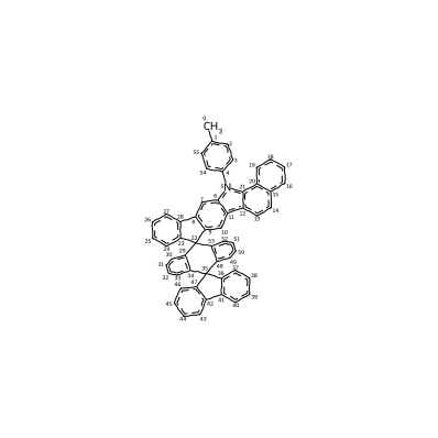 Cc1ccc(-n2c3cc4c(cc3c3ccc5ccccc5c32)C2(c3ccccc3-4)c3ccccc3C3(c4ccccc4-c4ccccc43)c3ccccc32)cc1